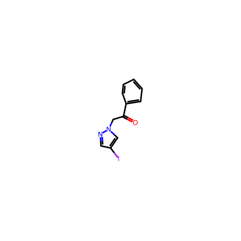 O=C(Cn1cc(I)cn1)c1ccccc1